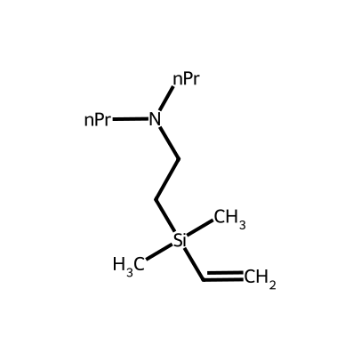 C=C[Si](C)(C)CCN(CCC)CCC